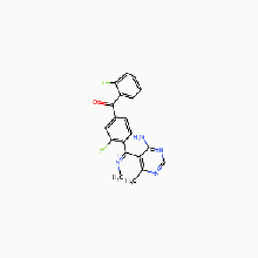 C/N=C(/c1ccc(C(=O)c2ccccc2F)cc1F)c1c(C)ncnc1N